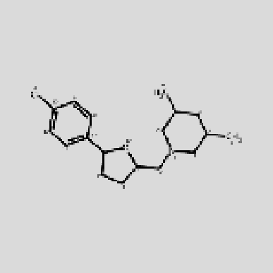 CC1CC(C)CN(CC2CCC(c3ccc(Cl)cc3)O2)C1